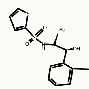 CC[C@H](C)C(NS(=O)(=O)c1cccs1)[C@@H](O)c1ccccc1C